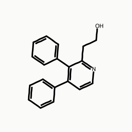 OCCc1nccc(-c2ccccc2)c1-c1ccccc1